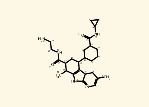 CC1=CN=C2NC3=C(C2C1)C(C1CCCC(C(=O)NC2CC2)C1)CC(C(=O)NCCN)C3C